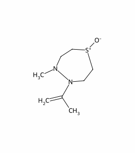 C=C(C)N1CC[S+]([O-])CCN1C